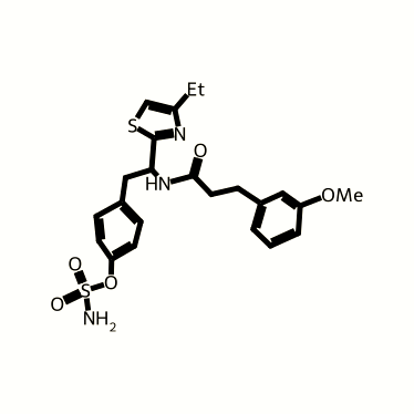 CCc1csc(C(Cc2ccc(OS(N)(=O)=O)cc2)NC(=O)CCc2cccc(OC)c2)n1